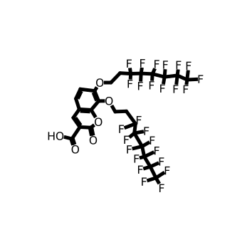 O=C(O)c1cc2ccc(OCCC(F)(F)C(F)(F)C(F)(F)C(F)(F)C(F)(F)C(F)(F)F)c(OCCC(F)(F)C(F)(F)C(F)(F)C(F)(F)C(F)(F)C(F)(F)F)c2oc1=O